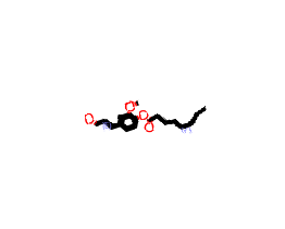 CC/C=C\CCCC(=O)Oc1ccc(/C=C/C=O)cc1OC